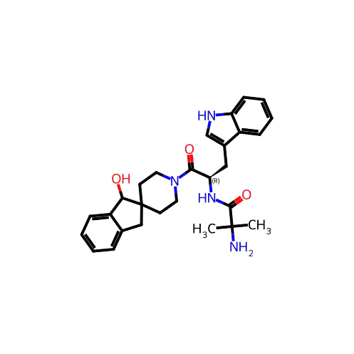 CC(C)(N)C(=O)N[C@H](Cc1c[nH]c2ccccc12)C(=O)N1CCC2(CC1)Cc1ccccc1C2O